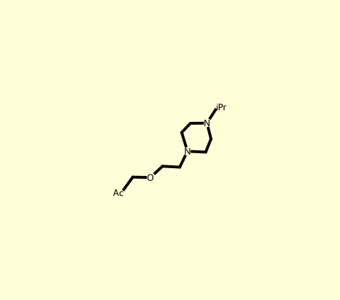 CC(=O)COCCN1CCN(C(C)C)CC1